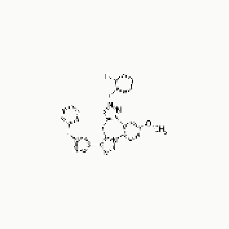 COc1ccc2c(c1)-c1nn(Cc3ccccc3F)cc1Cc1c(-c3cnn(Cc4ccccc4)c3)ncn1-2